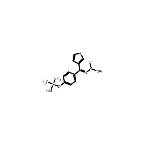 CC(C)(C)[S+]([O-])/N=C(/c1ccc(O[Si](C)(C)C(C)(C)C)cc1)c1ccsc1